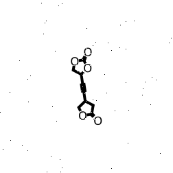 O=C1CC(C#CC2COC(=O)O2)CO1